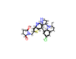 C[C@H]1CCc2cc(Cl)cc(-c3ccnc4cc(CN5C(=O)CCC5=O)sc34)c2N1[C@@H]1CCNC1